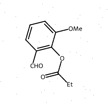 [CH2]CC(=O)Oc1c(C=O)cccc1OC